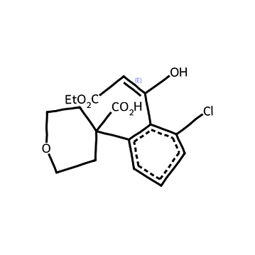 CCOC(=O)/C=C(/O)c1c(Cl)cccc1C1(C(=O)O)CCOCC1